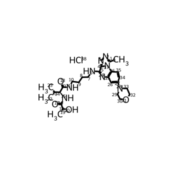 Cc1nnc2c(NCCCCNC(=O)[C@@H](NC(=O)C(C)O)C(C)C)nc3cc(N4CCOCC4)ccc3n12.Cl